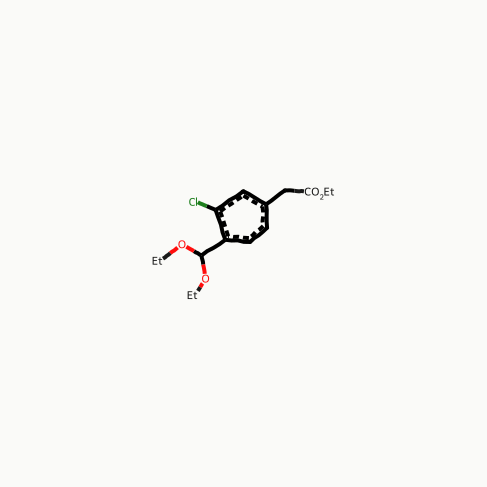 CCOC(=O)Cc1ccc(C(OCC)OCC)c(Cl)c1